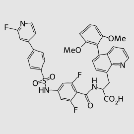 COc1cccc(OC)c1-c1ccc(CC(NC(=O)c2c(F)cc(NS(=O)(=O)c3ccc(-c4ccnc(F)c4)cc3)cc2F)C(=O)O)c2ncccc12